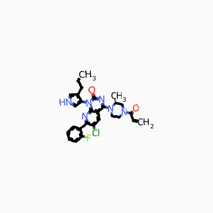 C=CC(=O)N1CCN(c2nc(=O)n(-c3c[nH]cc3CCC)c3nc(-c4ccccc4F)c(Cl)cc23)[C@@H](C)C1